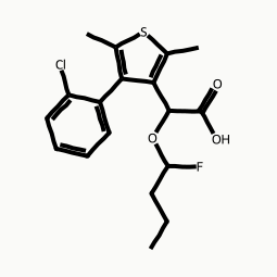 CCCC(F)OC(C(=O)O)c1c(C)sc(C)c1-c1ccccc1Cl